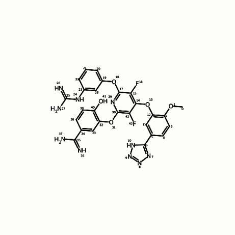 COc1ccc(-c2nnn[nH]2)cc1Oc1c(F)c(Oc2cccc(NC(=N)N)c2)nc(Oc2cc(C(=N)N)ccc2O)c1F